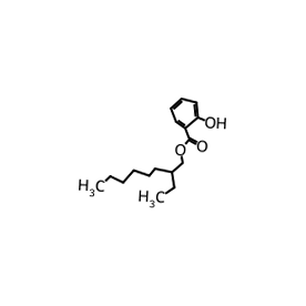 CCCCCCC(CC)COC(=O)c1ccccc1O